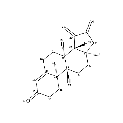 C=C1C[C@@]2(C)CC[C@H]3[C@@H](CCC4=CC(=O)CC[C@@]43C)[C@@H]2C1=C